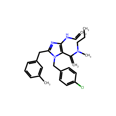 C=CNc1nc(Cc2cccc(C)c2)n(Cc2ccc(Cl)cc2)c1C(=C)N(C)CCC